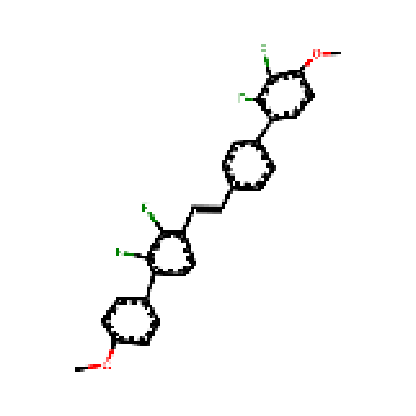 COc1ccc(-c2ccc(/C=C/c3ccc(-c4ccc(OC)c(F)c4F)cc3)c(F)c2F)cc1